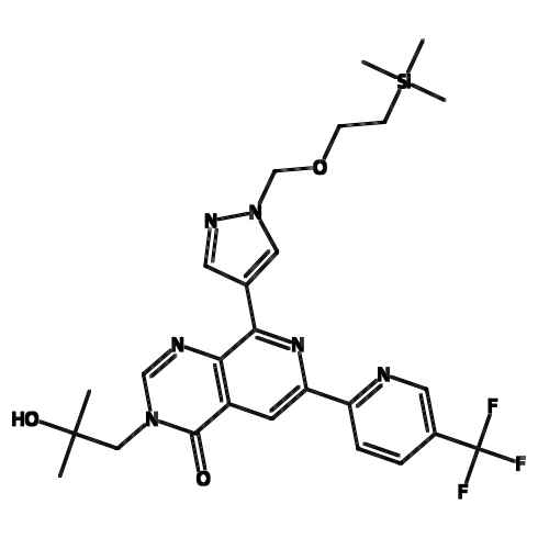 CC(C)(O)Cn1cnc2c(-c3cnn(COCC[Si](C)(C)C)c3)nc(-c3ccc(C(F)(F)F)cn3)cc2c1=O